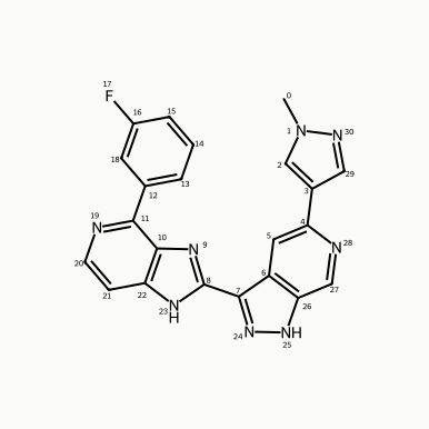 Cn1cc(-c2cc3c(-c4nc5c(-c6cccc(F)c6)nccc5[nH]4)n[nH]c3cn2)cn1